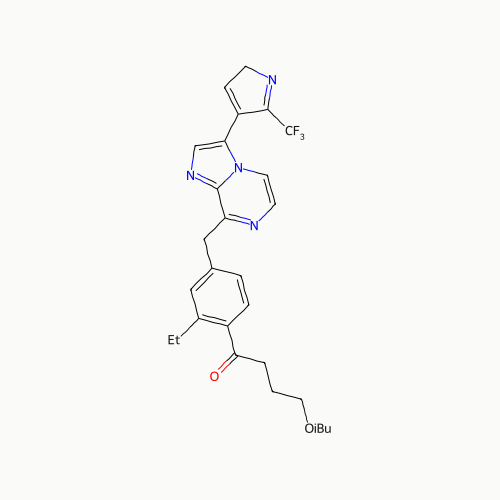 CCc1cc(Cc2nccn3c(C4=CCN=C4C(F)(F)F)cnc23)ccc1C(=O)CCCOCC(C)C